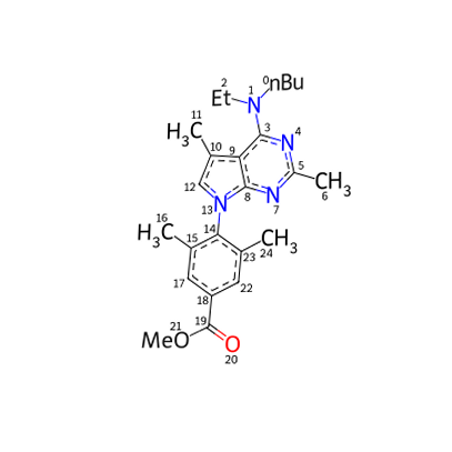 CCCCN(CC)c1nc(C)nc2c1c(C)cn2-c1c(C)cc(C(=O)OC)cc1C